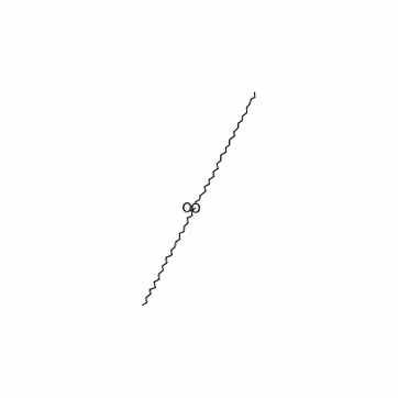 CCCCCCCCCCCCCCCCCCCCCCCCCCCCCOC(=O)CCCCCCCCCCCCCCCCCCCCCCCC